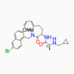 COc1ccc2cc(Br)ccc2c1CN1C(=O)C(NC(=O)[C@H](C)NCC2CC2)CCc2ccccc21